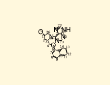 O=C1CC(COc2cccc3ccccc23)N(c2ncnc3[nH]cnc23)C1